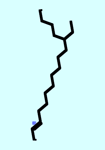 [CH2]/C=C/CCCCCCCCC(CC)CCC[CH2]